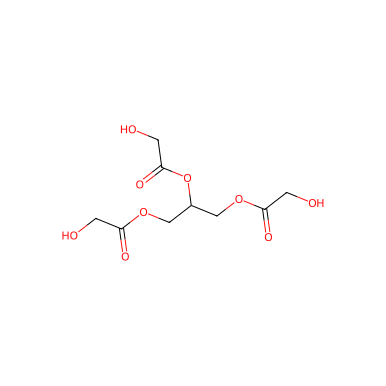 O=C(CO)OCC(COC(=O)CO)OC(=O)CO